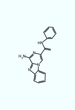 C=C(Nc1ccccc1)c1cn2c(nc3ccccc32)c(N)n1